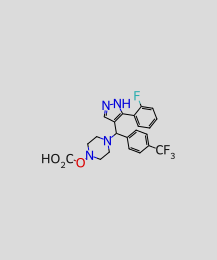 O=C(O)ON1CCN(C(c2ccc(C(F)(F)F)cc2)c2cn[nH]c2-c2ccccc2F)CC1